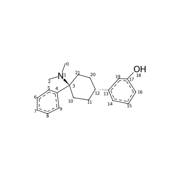 CN(C)[C@]1(c2ccccc2)CC[C@@H](c2cccc(O)c2)CC1